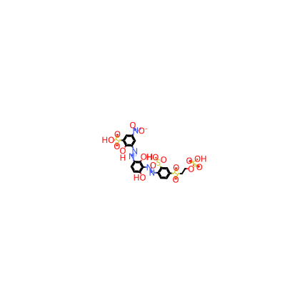 O=[N+]([O-])c1cc(/N=N/c2ccc(O)c(/N=N/c3ccc(S(=O)(=O)CCOS(=O)(=O)O)cc3S(=O)(=O)O)c2O)c(O)c(S(=O)(=O)O)c1